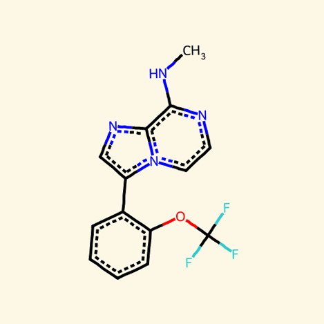 CNc1nccn2c(-c3ccccc3OC(F)(F)F)cnc12